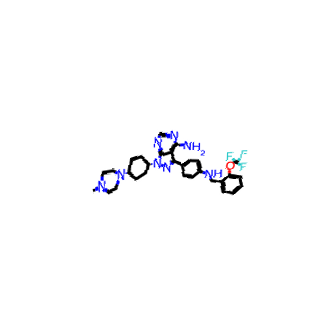 CN1CCN([C@H]2CC[C@@H](n3nc(-c4ccc(NCc5ccccc5OC(F)(F)F)cc4)c4c(N)ncnc43)CC2)CC1